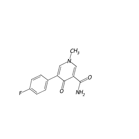 Cn1cc(C(N)=O)c(=O)c(-c2ccc(F)cc2)c1